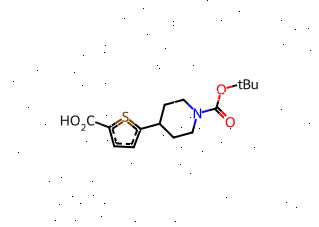 CC(C)(C)OC(=O)N1CCC(c2ccc(C(=O)O)s2)CC1